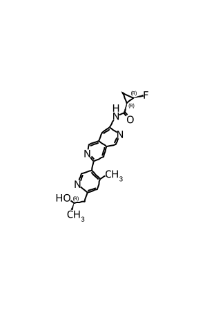 Cc1cc(C[C@@H](C)O)ncc1-c1cc2cnc(NC(=O)[C@H]3C[C@H]3F)cc2cn1